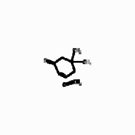 C=O.CC1(C)CC=CC(=O)C1